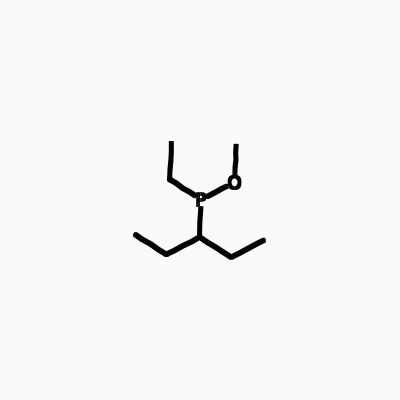 CCC(CC)P(CC)OC